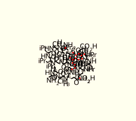 CC(C)C[C@H](NC(=O)CN)C(=O)N[C@@H](C)C(=O)N[C@@H](CCC(N)=O)C(=O)N[C@@H](CO)C(=O)N[C@H](C(=O)NCC(=O)N[C@@H](CC(C)C)C(=O)N[C@@H](CC(C)C)C(=O)N[C@@H](C)C(=O)N[C@H](C(=O)N[C@@H](CC(N)=O)C(=O)N[C@@H](CC(=O)O)C(=O)N[C@@H](CCC(=O)O)C(=O)N[C@H](C(=O)N[C@@H](CC(C)C)C(=O)N[C@@H](CCC(=O)O)C(=O)N[C@H](C(=O)N[C@@H](CC(N)=O)C(=O)NCC(=O)O)C(C)C)C(C)C)C(C)C)[C@@H](C)O